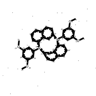 COc1cc(OC)cc(-n2c3ccc4cccc(c4c3)n(-c3cc(OC)cc(OC)c3)c3ccc4cccc2c4c3)c1